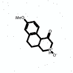 COc1ccc2c(c1)CCC1C[NH+]([O-])CC(=O)C21